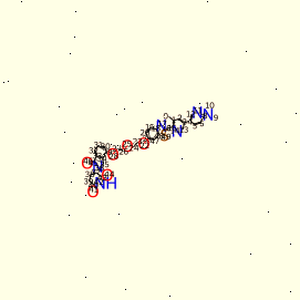 Cc1cc(-c2ccc(N(C)C)nc2)cnc1-c1nc2ccc(OCCOCCOc3cccc4c3CN(C3CCC(=O)NC3=O)C4=O)cc2s1